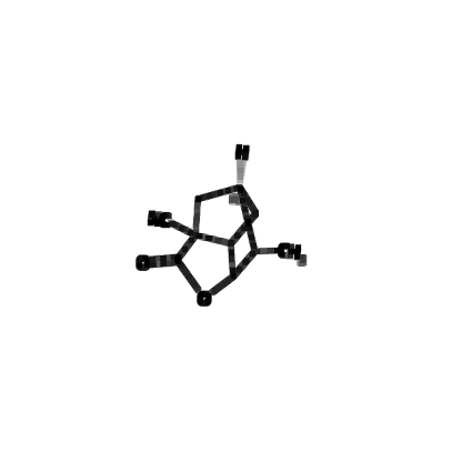 CC1C2OC(=O)C3(C#N)C[C@H]1CC23